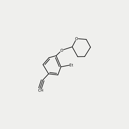 C#Cc1ccc(OC2CCCCO2)c(CC)c1